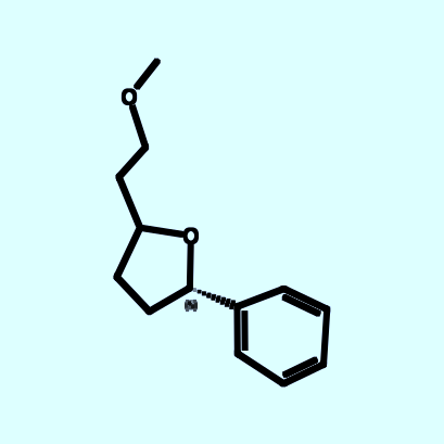 COCCC1CC[C@@H](c2ccccc2)O1